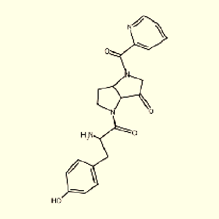 NC(Cc1ccc(O)cc1)C(=O)N1CCC2C1C(=O)CN2C(=O)c1ccccn1